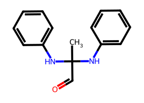 CC(C=O)(Nc1ccccc1)Nc1ccccc1